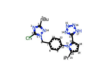 CCCCc1nc(Cl)n(Cc2ccc(-n3c(-c4nnn[nH]4)ccc3C(C)C)cc2)n1